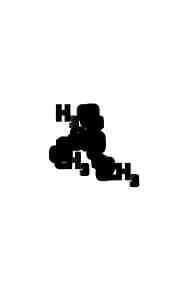 CC(=O)Oc1cccc(COC(=O)c2ccc(C(=O)OCc3cccc(OC(C)=O)c3)c(C(=O)OCc3cccc(OC(C)=O)c3)c2)c1